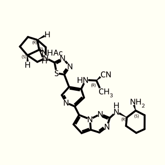 CC(=O)N[C@H]1[C@@H]2CC[C@H]1CN(c1nnc(-c3cnc(-c4ccc5cnc(N[C@@H]6CCCC[C@@H]6N)nn45)cc3N[C@H](C)C#N)s1)C2